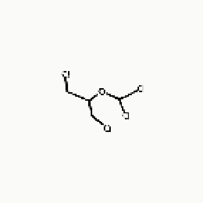 ClCC(CCl)OC(Cl)Cl